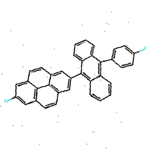 Fc1ccc(-c2c3ccccc3c(-c3cc4ccc5cc(F)cc6ccc(c3)c4c56)c3ccccc23)cc1